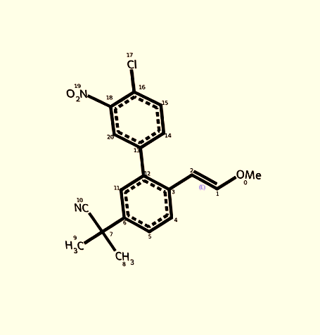 CO/C=C/c1ccc(C(C)(C)C#N)cc1-c1ccc(Cl)c([N+](=O)[O-])c1